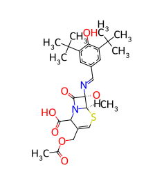 CO[C@@]1(/N=C/c2cc(C(C)(C)C)c(O)c(C(C)(C)C)c2)C(=O)N2C(C(=O)O)C(COC(C)=O)=CS[C@@H]21